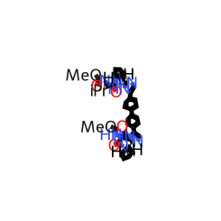 COC(=O)N[C@H](C(=O)N1[C@@H]2CC[C@@H](C2)[C@H]1c1ncc(-c2ccc(-c3ccc(-c4cnc([C@@H]5[C@H]6CC[C@H](C6)N5C(=O)C5(NC(=O)OC)CC5)[nH]4)cc3)cc2)[nH]1)C(C)C